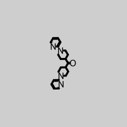 O=C(C1CCN(c2ccccn2)CC1)C1CCN(c2ccccn2)CC1